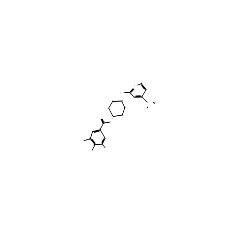 Cl.O=C(N[C@H]1CC[C@@H](Nc2cc([N+](=O)[O-])ccn2)CC1)c1cc(F)c(F)c(F)c1